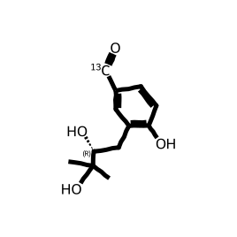 CC(C)(O)[C@H](O)Cc1cc([13CH]=O)ccc1O